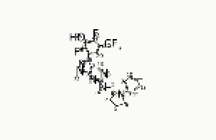 CN(C[C@H]1CCCN1c1ccccc1)c1ncc2c(-c3cc(C(F)(F)F)c(F)c(O)c3F)nn(C)c2n1